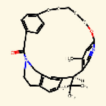 Cc1cc2ncc1[C@@H](C(C)(C)C(=O)O)c1ccc3c(c1)CN(CC3)C(=O)c1ccc(cc1)CCCCCO2